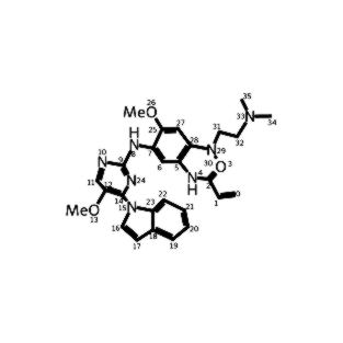 C=CC(=O)Nc1cc(Nc2ncc(OC)c(-n3ccc4ccccc43)n2)c(OC)cc1N(C)CCN(C)C